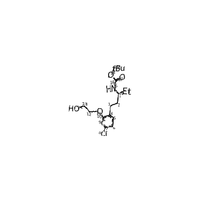 CC[C@@H](CCc1ccc(Cl)cc1OCCO)NC(=O)OC(C)(C)C